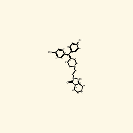 O=c1n(CCN2CCC(=C(c3ccc(F)cc3)c3ccc(F)cc3)CC2)nc2n1CCSC2